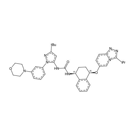 CC(C)c1nnc2ccc(O[C@@H]3CC[C@H](NC(=O)Nc4cc(C(C)(C)C)nn4-c4cccc(N5CCOCC5)c4)c4ccccc43)cn12